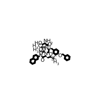 CSCC[C@@H](C(=O)Nc1ccc2ccccc2c1)N(C(=O)OC(C)(C)C)C(=O)[C@H](Cc1ccc(OCc2ccccc2)cc1)NC(=O)[C@H](N)CO